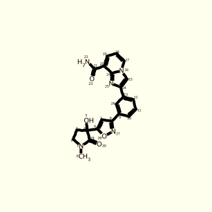 CN1CCC(O)(c2cc(-c3cccc(-c4cn5cccc(C(N)=O)c5n4)c3)no2)C1=O